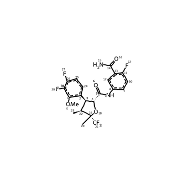 COc1c([C@H]2[C@H](C(=O)Nc3ccc(F)c(C(N)=O)c3)O[C@](C)(C(F)(F)F)[C@H]2C)ccc(F)c1F